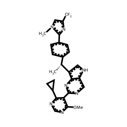 COc1ncnc(C2CC2)c1-c1ncc2[nH]cc([C@H](C)c3ccc(-c4nc(C(F)(F)F)cn4C)cc3)c2n1